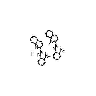 CN(C)c1ccccc1N=Nc1ccc2ccccc2[n+]1C.CN(C)c1ccccc1N=Nc1ccc2ccccc2n1.[I-]